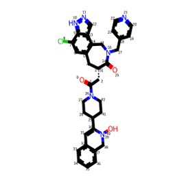 O=C(C[C@@H]1Cc2cc(Cl)c3[nH]ncc3c2CN(Cc2ccncc2)C1=O)N1CCC(C2=Cc3ccccc3CN2O)CC1